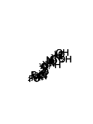 O=C(O)NC(CO)Cc1nc(-c2cccc(Oc3ccc(OC(F)F)cn3)c2)no1